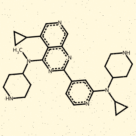 CN(c1nc(-c2ccnc(N(C3CCNCC3)C3CC3)c2)nc2cncc(C3CC3)c12)C1CCNCC1